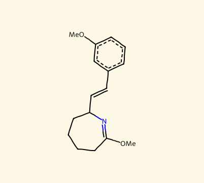 COC1=NC(C=Cc2cccc(OC)c2)CCCC1